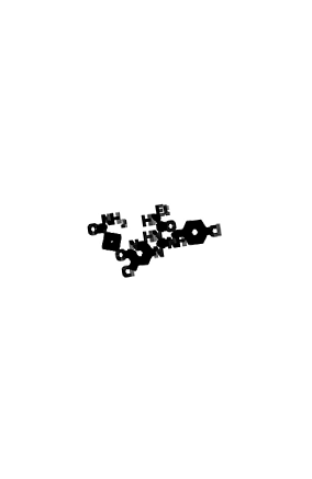 CCNC(=O)N/C(=N\c1cnc(O[C@H]2C[C@@H](C(N)=O)C2)c(Cl)c1)NCc1ccc(Cl)cc1